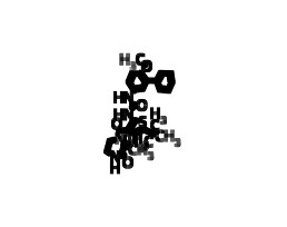 COc1ccc(NC(=O)Nc2sc(C(C)(C)C)cc2C(=O)N2CCNC(=O)C2(C)C)cc1-c1ccccc1